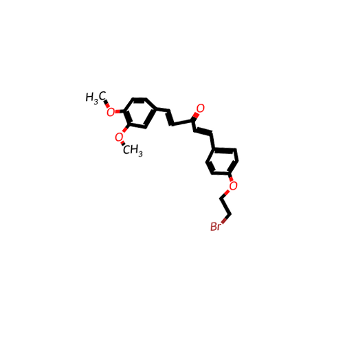 COc1ccc(C=CC(=O)C=Cc2ccc(OCCBr)cc2)cc1OC